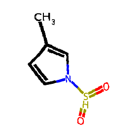 Cc1ccn([SH](=O)=O)c1